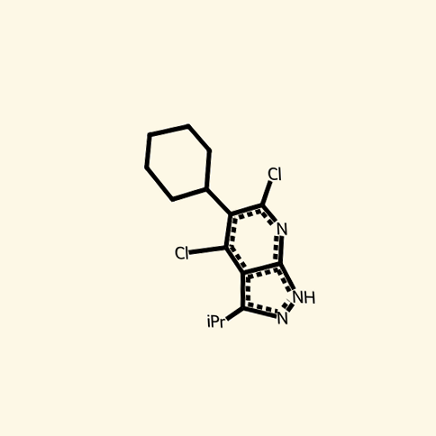 CC(C)c1n[nH]c2nc(Cl)c(C3CCCCC3)c(Cl)c12